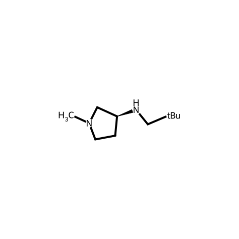 CN1CC[C@H](NCC(C)(C)C)C1